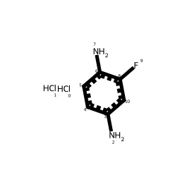 Cl.Cl.Nc1ccc(N)c(F)c1